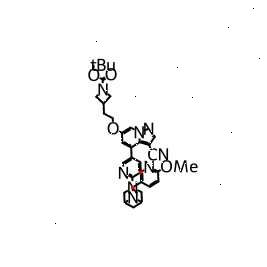 COc1ccc(CN2C3CC2CN(c2ccc(-c4cc(OCCC5CN(C(=O)OC(C)(C)C)C5)cn5ncc(C#N)c45)cn2)C3)cn1